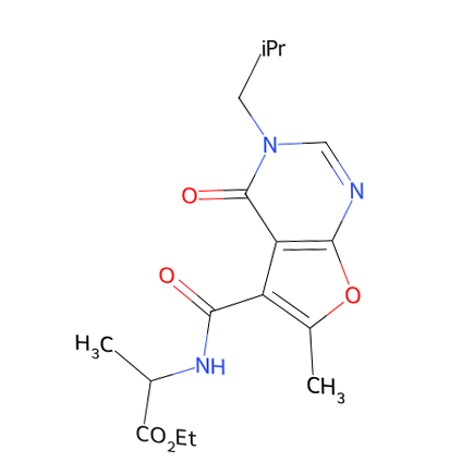 CCOC(=O)C(C)NC(=O)c1c(C)oc2ncn(CC(C)C)c(=O)c12